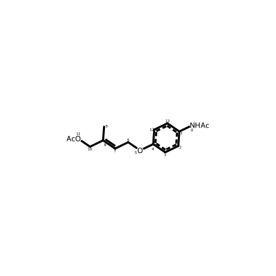 CC(=O)Nc1ccc(OC/C=C(\C)COC(C)=O)cc1